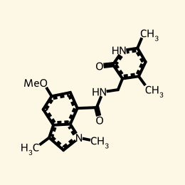 COc1cc(C(=O)NCc2c(C)cc(C)[nH]c2=O)c2c(c1)c(C)cn2C